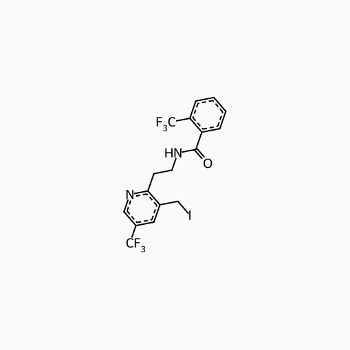 O=C(NCCc1ncc(C(F)(F)F)cc1CI)c1ccccc1C(F)(F)F